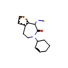 CNC1C(=O)N(C2C=CCCC2)CCc2ccsc21